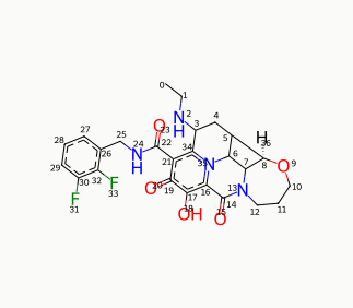 CCNC1CC2C3C4[C@@H]2OCCCN4C(=O)c2c(O)c(=O)c(C(=O)NCc4cccc(F)c4F)c1n23